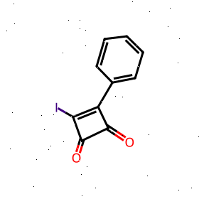 O=c1c(I)c(-c2ccccc2)c1=O